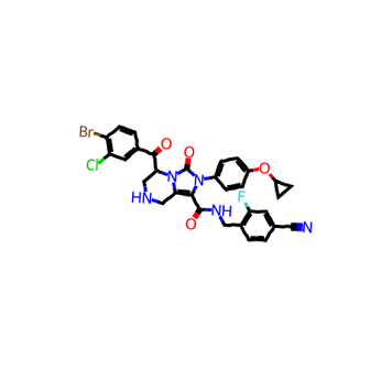 N#Cc1ccc(CNC(=O)c2c3n(c(=O)n2-c2ccc(OC4CC4)cc2)C(C(=O)c2ccc(Br)c(Cl)c2)CNC3)c(F)c1